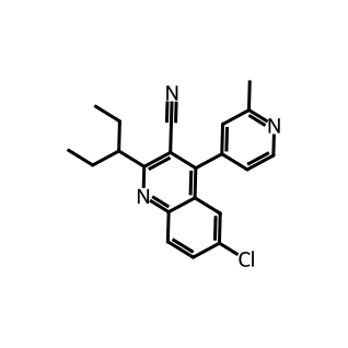 CCC(CC)c1nc2ccc(Cl)cc2c(-c2ccnc(C)c2)c1C#N